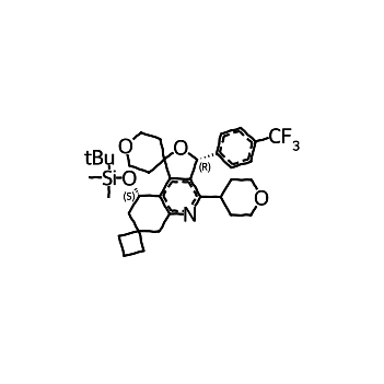 CC(C)(C)[Si](C)(C)O[C@H]1CC2(CCC2)Cc2nc(C3CCOCC3)c3c(c21)C1(CCOCC1)O[C@@H]3c1ccc(C(F)(F)F)cc1